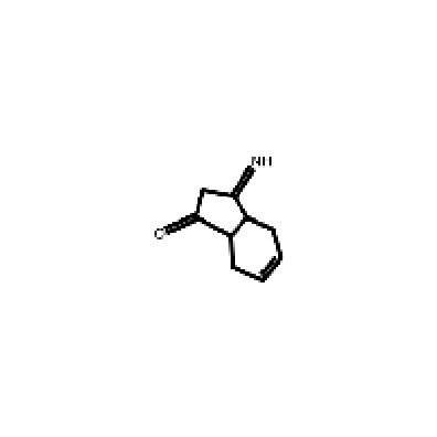 N=C1CC(=O)C2CC=CCC12